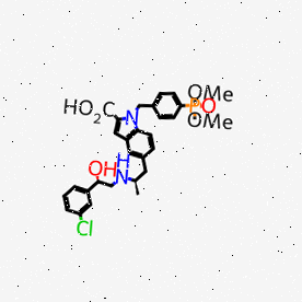 COP(=O)(OC)c1ccc(Cn2c(C(=O)O)cc3cc(C[C@@H](C)NC[C@H](O)c4cccc(Cl)c4)ccc32)cc1